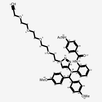 C#CCOCCOCCOCCOCCn1cc(N(c2ccccc2NC(=O)c2ccc(NC(C)=O)cc2)C(c2ccc(OC)cc2)c2ccc(OC)cc2)nn1